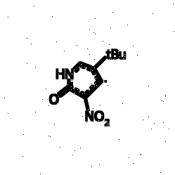 CC(C)(C)c1[c]c([N+](=O)[O-])c(=O)[nH]c1